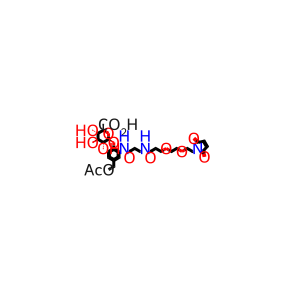 CC(=O)OCc1ccc(O[C@@H]2O[C@H](C(=O)O)[C@@H](O)[C@H](O)[C@H]2O)c(NC(=O)CCNC(=O)CCOCCOCCN2C(=O)C=CC2=O)c1